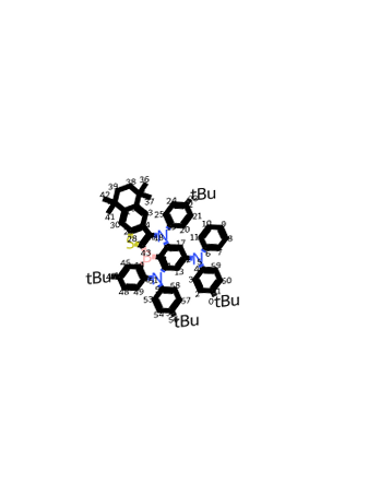 CC(C)(C)c1ccc(N(c2ccccc2)c2cc3c4c(c2)N(c2ccc(C(C)(C)C)cc2)c2c(sc5cc6c(cc25)C(C)(C)CCC6(C)C)B4c2cc(C(C)(C)C)ccc2N3c2ccc(C(C)(C)C)cc2)cc1